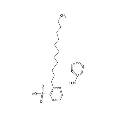 CCCCCCCCCCCCc1ccccc1S(=O)(=O)O.Nc1ccccc1